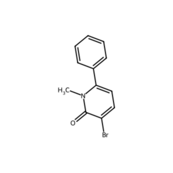 Cn1c(-c2ccccc2)ccc(Br)c1=O